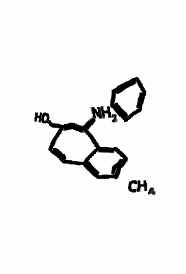 C.Nc1c(O)ccc2ccccc12.c1ccccc1